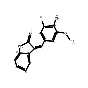 COc1cc(C=C2C(=O)Nc3ccccc32)cc(I)c1O